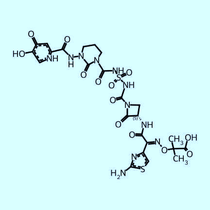 CC(C)(ON=C(C(=O)N[C@H]1CN(C(=O)NS(=O)(=O)NC(=O)N2CCCN(NC(=O)c3cc(=O)c(O)c[nH]3)C2=O)C1=O)c1csc(N)n1)C(=O)O